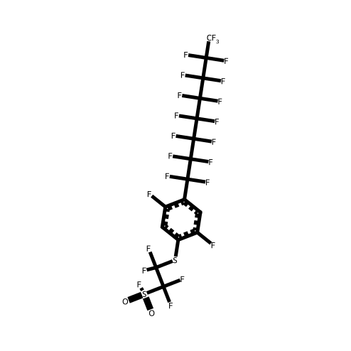 O=S(=O)(F)C(F)(F)C(F)(F)Sc1cc(F)c(C(F)(F)C(F)(F)C(F)(F)C(F)(F)C(F)(F)C(F)(F)C(F)(F)C(F)(F)F)cc1F